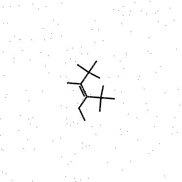 CC/C(=C(\C)C(C)(C)C)C(C)(C)C